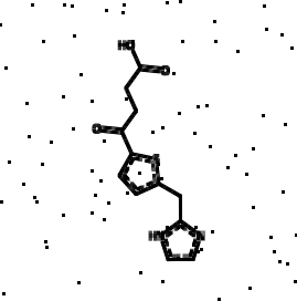 O=C(O)CCC(=O)c1ccc(Cc2ncc[nH]2)s1